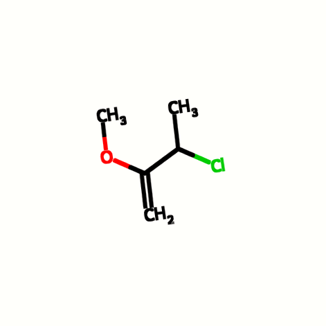 C=C(OC)C(C)Cl